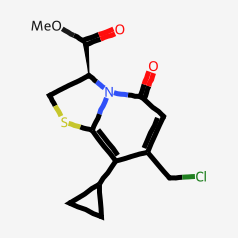 COC(=O)[C@@H]1CSc2c(C3CC3)c(CCl)cc(=O)n21